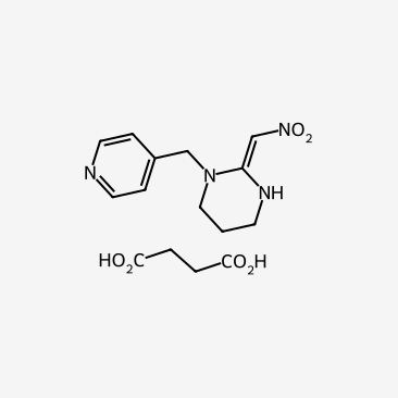 O=C(O)CCC(=O)O.O=[N+]([O-])C=C1NCCCN1Cc1ccncc1